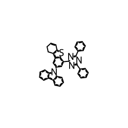 C1=Cc2sc3c(-c4nc(-c5ccccc5)nc(-c5ccccc5)n4)cc(-n4c5ccccc5c5ccccc54)cc3c2CC1